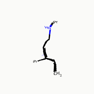 C=C/C(=C\CNC(C)C)C(C)C